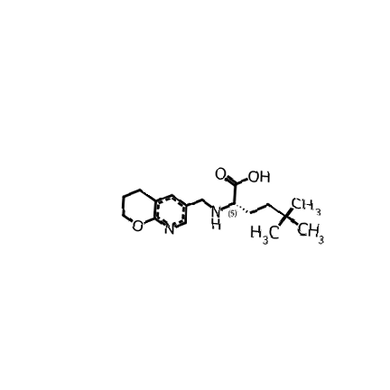 CC(C)(C)CC[C@H](NCc1cnc2c(c1)CCCO2)C(=O)O